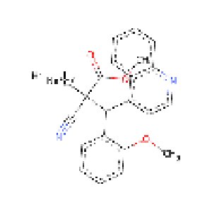 COC(=O)C(C)(C#N)C(c1ccccc1OC)c1ccnc2ccccc12.[H-].[Na+]